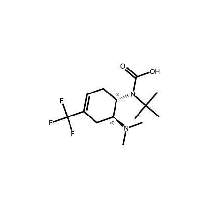 CN(C)[C@H]1CC(C(F)(F)F)=CC[C@@H]1N(C(=O)O)C(C)(C)C